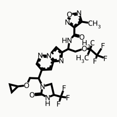 Cc1nonc1C(=O)NC(COC(C)(C)C(F)(F)F)c1cn2ncc(C(COC3CC3)N3CC(C(F)(F)F)NC3=O)cc2n1